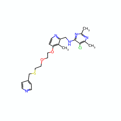 Cc1nc(C)c(Cl)c(NCc2nccc(OCCOCCSCc3ccncc3)c2C)n1